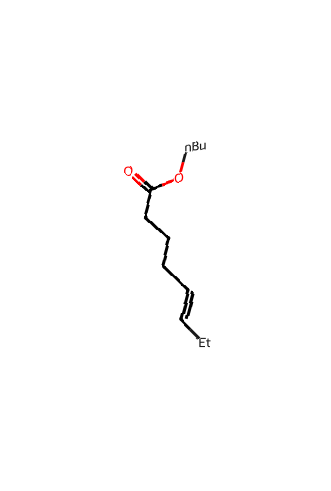 CCC=CCCCC(=O)OCCCC